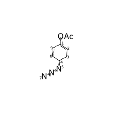 CC(=O)OC1=CC[C@@H](N=[N+]=[N-])C=C1